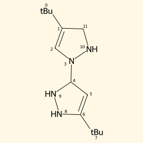 CC(C)(C)C1=CN(C2C=C(C(C)(C)C)NN2)NC1